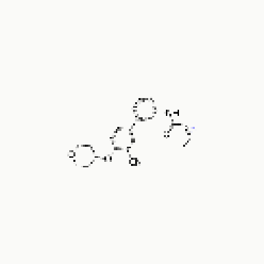 C/C=C\C(=O)Nc1cc(-c2ccc(OC3CCOCC3)c(C#N)c2)ccn1